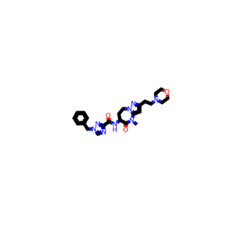 CN1C(=O)C(NC(=O)c2ncn(Cc3ccccc3)n2)CCn2nc(CCN3CCOCC3)cc21